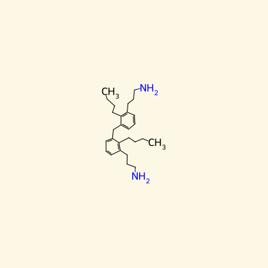 CCCCc1c(CCCN)cccc1Cc1cccc(CCCN)c1CCCC